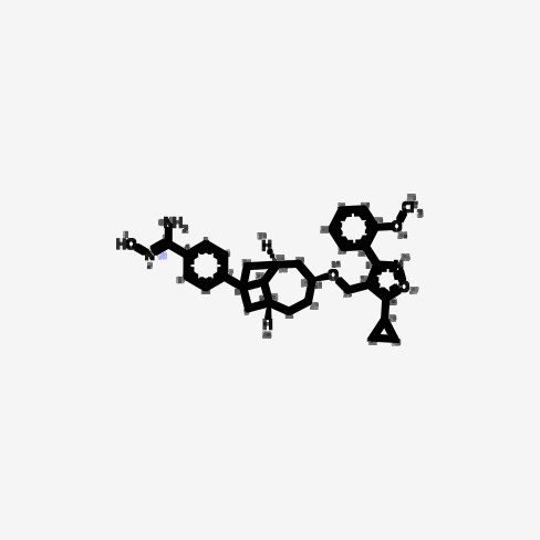 N/C(=N\O)c1ccc(C23C[C@H]4CC[C@H](OCc5c(-c6ccccc6OC(F)(F)F)noc5C5CC5)C[C@H](C2)C43)cc1